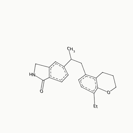 CCc1ccc(CC(C)c2ccc3c(c2)CNC3=O)c2c1OCCC2